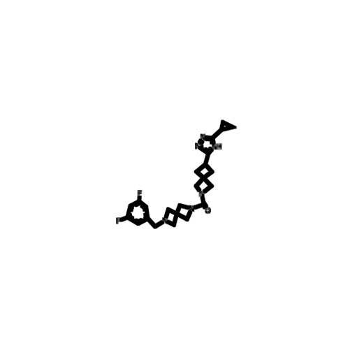 O=C(N1CC2(CC(c3nnc(C4CC4)[nH]3)C2)C1)N1CC2(CN(Cc3cc(F)cc(F)c3)C2)C1